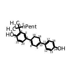 CCCCCC(C)(C)c1cc(C2=CC=C(c3ccc(O)cc3)CC2)ccc1O